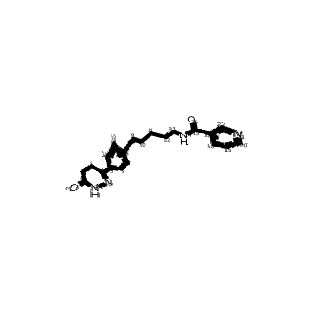 O=C1CCC(c2ccc(CCCCCNC(=O)c3cccnc3)cc2)=NN1